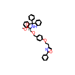 COC(=O)[C@H](COCc1ccc(OCCc2coc(-c3ccccc3)n2)cc1)NC(c1ccccc1)(c1ccccc1)c1ccccc1